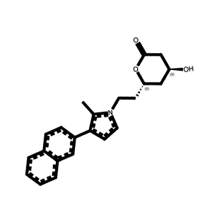 Cc1c(-c2ccc3ccccc3c2)ccn1CC[C@H]1C[C@H](O)CC(=O)O1